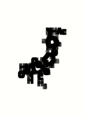 CC(=O)Nc1ccc(OC2CCN(S(=O)(=O)C(C)[C@H]3NC(=O)NC3=O)CC2)cc1